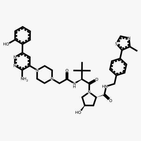 Cc1ncsc1-c1ccc(CNC(=O)[C@@H]2C[C@@H](O)CN2C(=O)[C@@H](NC(=O)CN2CCN(c3cc(-c4ccccc4O)nnc3N)CC2)C(C)(C)C)cc1